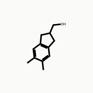 Cc1cc2c(cc1C)CC(CO)C2